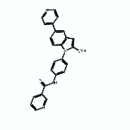 CSc1cc2cc(-c3ccncc3)ccc2n1-c1ccc(NC(=O)c2cccnc2)cc1